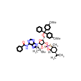 C=C(C)[C@@H]1CC[C@]2(C)S[P@](=S)(O[C@H]3[C@@H](O[Si](C)(C)C(C)(C)C)[C@H](n4cnc5c(NC(=O)c6ccccc6)ncnc54)O[C@@H]3COC(c3ccccc3)(c3ccc(OC)cc3)c3ccc(OC)cc3)O[C@H]2C1